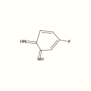 N=C1C=CC(F)=CC1=N